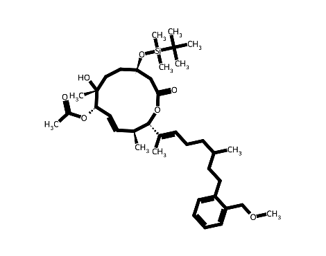 COCc1ccccc1CCC(C)CC/C=C(\C)[C@H]1OC(=O)C[C@H](O[Si](C)(C)C(C)(C)C)CC[C@@](C)(O)[C@@H](OC(C)=O)/C=C/[C@@H]1C